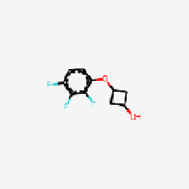 OC1CC(Oc2ccc(F)c(F)c2F)C1